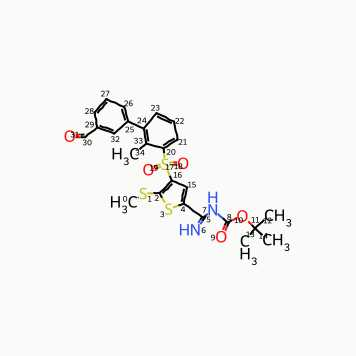 CSc1sc(C(=N)NC(=O)OC(C)(C)C)cc1S(=O)(=O)c1cccc(-c2cccc(C=O)c2)c1C